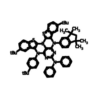 CC(C)(C)c1ccc(N2c3nc(N(c4ccccc4)c4ccccc4)nc4c3B(c3sc5ccc(C(C)(C)C)cc5c32)c2sc3ccc(C(C)(C)C)cc3c2N4c2ccc3c(c2)C(C)(C)CC3(C)C)cc1